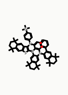 Cc1cc2c3c(c1)N(c1ccc([Si](C)(C)C)cc1)c1c(sc4cc5c(cc14)C(C)(C)CCC5(C)C)B3c1cc3c(cc1N2c1cc2c(cc1-c1ccccc1)C(C)(C)CCC2(C)C)C(C)(C)CCC3(C)C